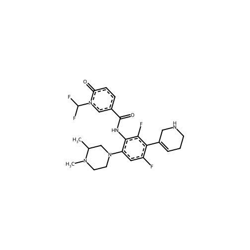 CC1CN(c2cc(F)c(C3=CCCNC3)c(F)c2NC(=O)c2ccc(=O)n(C(F)F)c2)CCN1C